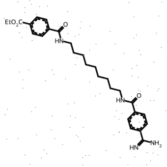 CCOC(=O)c1ccc(C(=O)NCCCCCCCCCNC(=O)c2ccc(C(=N)N)cc2)cc1